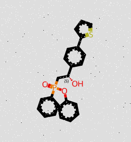 O=P(C[C@@H](O)c1ccc(-c2cccs2)cc1)(Oc1ccccc1)c1ccccc1